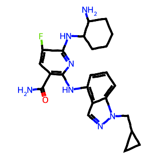 NC(=O)c1cc(F)c(NC2CCCCC2N)nc1Nc1cccc2c1cnn2CC1CC1